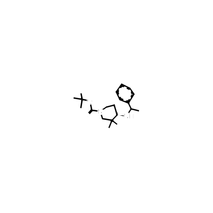 CC(N[C@@H]1CCN(C(=O)OC(C)(C)C)CC1(C)C)c1ccccc1